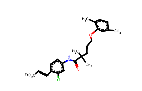 CCOC(=O)C=Cc1ccc(NC(=O)C(C)(C)CCCOc2cc(C)ccc2C)cc1Cl